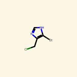 CCc1[nH]cnc1CCl